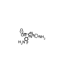 Nc1ccc(-c2nc(N3CCC(N)CC3)ncc2C#CC2(O)CCOC2)cc1F